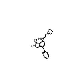 O=C1NCc2c(-c3ccccc3)ccc(NCCN3CCCC3)c21